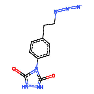 [N-]=[N+]=NCCc1ccc(-n2c(=O)[nH][nH]c2=O)cc1